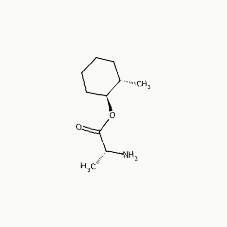 C[C@@H](N)C(=O)O[C@H]1CCCC[C@@H]1C